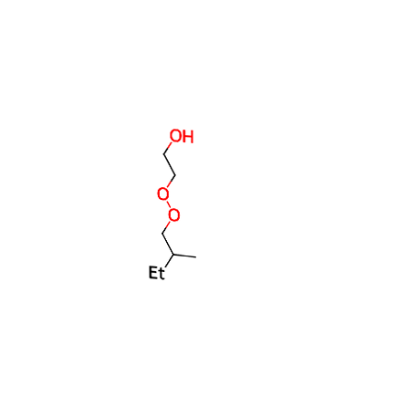 CCC(C)COOCCO